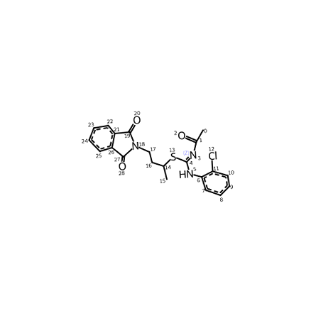 CC(=O)/N=C(/Nc1ccccc1Cl)SC(C)CCN1C(=O)c2ccccc2C1=O